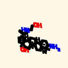 C=C(CNCCO)[C@@H]1CC[C@]2(CO)CC[C@]3(C)[C@H](CC[C@@H]4[C@@]5(C)CCC(N)C(C)(C)[C@@H]5CC[C@]43C)[C@@H]12